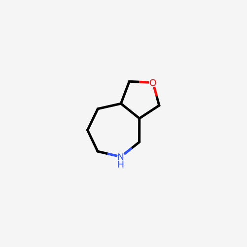 C1CNCC2COCC2C1